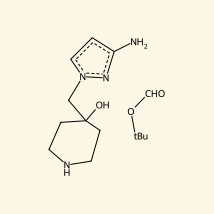 CC(C)(C)OC=O.Nc1ccn(CC2(O)CCNCC2)n1